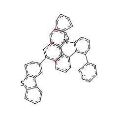 c1ccc(-c2ccccc2-c2c(-c3ccccc3)cccc2N(c2ccccc2)c2ccc(-c3ccc4sc5ccccc5c4c3)cc2)cc1